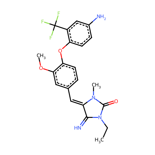 CCN1C(=N)/C(=C/c2ccc(Oc3ccc(N)cc3C(F)(F)F)c(OC)c2)N(C)C1=O